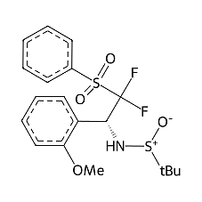 COc1ccccc1[C@@H](N[S+]([O-])C(C)(C)C)C(F)(F)S(=O)(=O)c1ccccc1